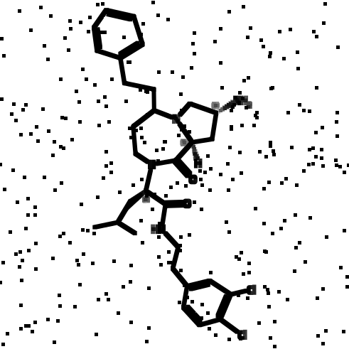 CC(C)C[C@H](C(=O)NCCc1ccc(Cl)c(Cl)c1)N1CCC(CCc2ccccc2)N2C[C@H](N)C[C@H]2C1=O